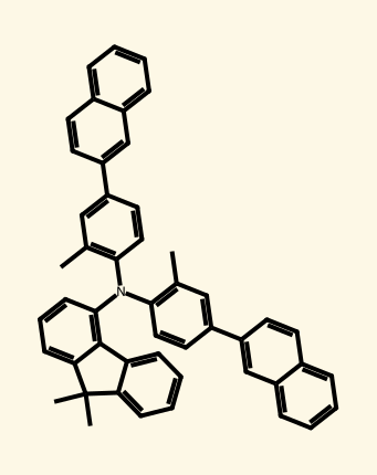 Cc1cc(-c2ccc3ccccc3c2)ccc1N(c1ccc(-c2ccc3ccccc3c2)cc1C)c1cccc2c1-c1ccccc1C2(C)C